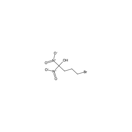 O=[N+]([O-])C(O)(CCCBr)[N+](=O)[O-]